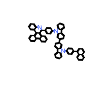 c1ccc2c(-c3ccc(-n4c5ccccc5c5ccc(-c6ccc7c8ccccc8n(-c8ccc(-c9nc%10ccccc%10c%10c%11ccccc%11c%11ccccc%11c9%10)cc8)c7c6)cc54)cc3)cccc2c1